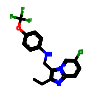 CCc1nc2ccc(Cl)cn2c1CNc1ccc(OC(F)(F)F)cc1